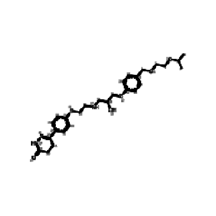 CC(C)OCCOCc1ccc(OCC(O)CNCCOc2ccc(C3=NNC(=O)CC3)cc2)cc1